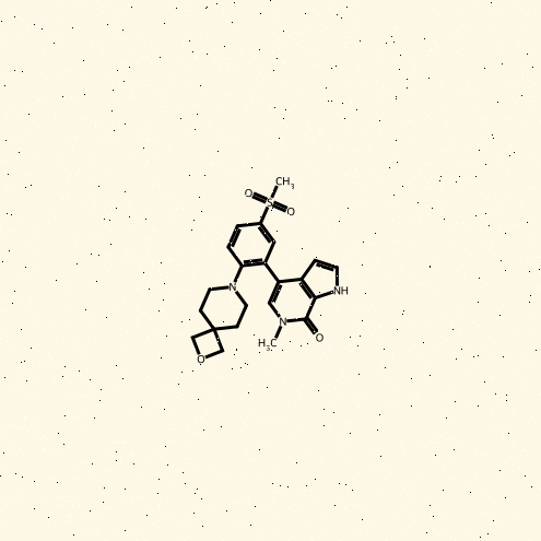 Cn1cc(-c2cc(S(C)(=O)=O)ccc2N2CCC3(CC2)COC3)c2cc[nH]c2c1=O